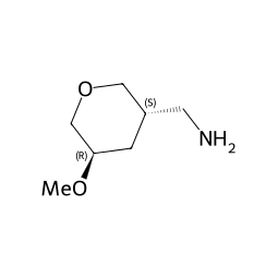 CO[C@H]1COC[C@H](CN)C1